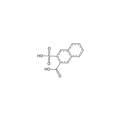 O=C(O)c1cc2ccccc2cc1S(=O)(=O)O